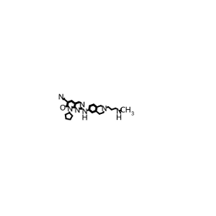 CNCCCN1CCc2cc(Nc3ncc4cc(C#N)c(=O)n(C5CCCC5)c4n3)ccc2C1